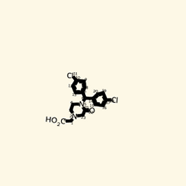 O=C(O)CN1CCN(C(c2ccc(Cl)cc2)c2ccc(Cl)cc2)C(=O)C1